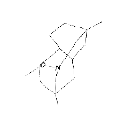 CON1C2(C)CCC3CCC1(C)CC3C2